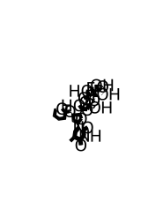 Cc1cn([C@H]2C[C@H](OC3CCCCO3)[C@@H](C(O)OP(=O)(O)OP(=O)(O)C(F)(F)P(=O)(O)O)O2)c(=O)[nH]c1=O